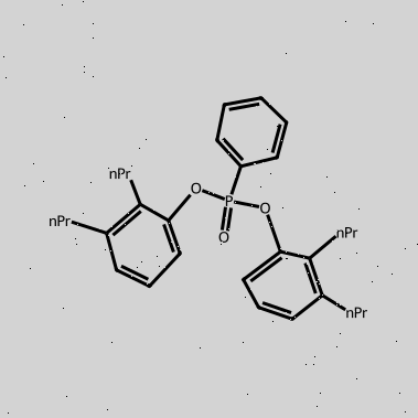 CCCc1cccc(OP(=O)(Oc2cccc(CCC)c2CCC)c2ccccc2)c1CCC